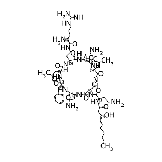 CCCCCCC[C@@H](O)CC(=O)N[C@H](CCN)C(=O)N[C@H]1CCNC(=O)[C@H](CC(C)C)NC(=O)[C@H](CCN)NC(=O)[C@H](CCNC(=O)[C@@H](N)CCCNC(=N)N)NC(=O)[C@H](CC(C)C)NC(=O)[C@@H](Cc2ccccc2)NC(=O)[C@H](CCN)NC1=O